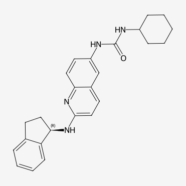 O=C(Nc1ccc2nc(N[C@@H]3CCc4ccccc43)ccc2c1)NC1CCCCC1